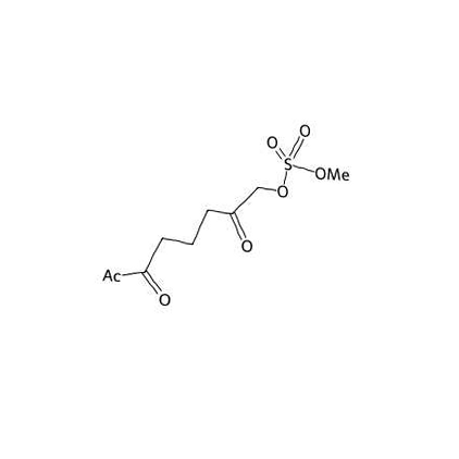 COS(=O)(=O)OCC(=O)CCCC(=O)C(C)=O